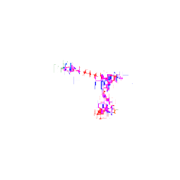 CCC1(O)C(=O)OCc2c1cc1n(c2=O)Cc2c-1nc1cc(F)c(C)c3c1c2[C@H](NC(=O)C1CN(C(=O)OCc2ccc(NC(=O)C(CCCNC(N)=O)NC(=O)[C@@H](NC(=O)CCOCCOCCOCCOCCNC(=O)c4ccc5nc(CBr)c(CBr)nc5c4)C(C)C)cc2)C1)CC3